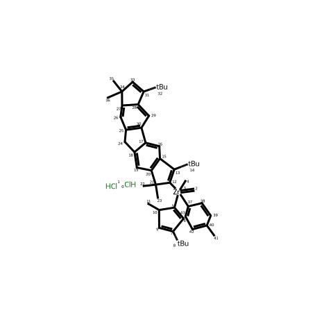 Cl.Cl.[CH2]=[Zr]([CH3])([C]1=CC(C(C)(C)C)=CC1C)([C]1=C(C(C)(C)C)c2cc3c(cc2C1(C)C)Cc1cc2c(cc1-3)C(C(C)(C)C)=CC2(C)C)[c]1ccc(C)cc1